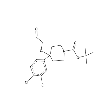 CC(C)(C)OC(=O)N1CCC(OCC=O)(c2ccc(Cl)c(Cl)c2)CC1